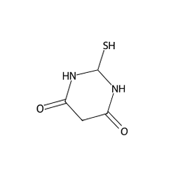 O=C1CC(=O)NC(S)N1